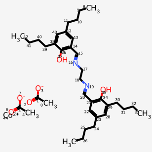 CC(=O)[O-].CC(=O)[O-].CCCCc1cc(C=NCCN=Cc2cc(CCCC)cc(CCCC)c2O)c(O)c(CCCC)c1.[Co+2]